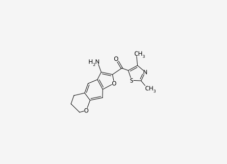 Cc1nc(C)c(C(=O)c2oc3cc4c(cc3c2N)CCCO4)s1